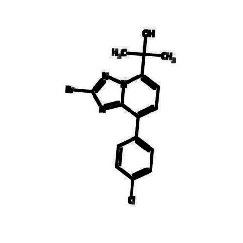 CC(C)(O)c1ccc(-c2ccc(Cl)cc2)c2nc(Br)nn12